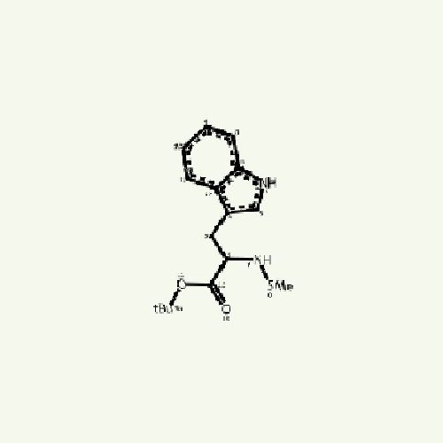 CSNC(Cc1c[nH]c2ccccc12)C(=O)OC(C)(C)C